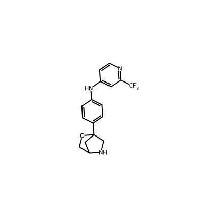 FC(F)(F)c1cc(Nc2ccc(C34CNC(CO3)C4)cc2)ccn1